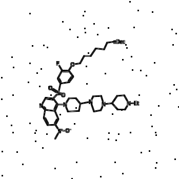 CCCCCCCCCCCCCCCCOc1ccc(S(=O)(=O)c2cnc3ccc([S+](C)[O-])cc3c2N2CCC(N3CCN(C4CCN(CC)CC4)CC3)CC2)cc1F